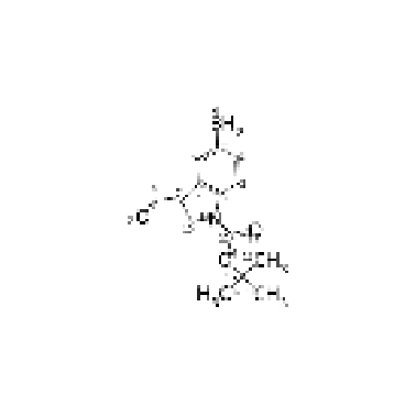 Bc1ccc2c(c1)C(C=O)CN2C(=O)OC(C)(C)C